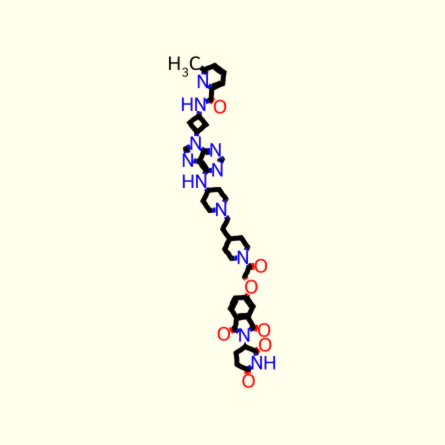 Cc1cccc(C(=O)NC2CC(n3cnc4c(NC5CCN(CCC6CCN(C(=O)COc7ccc8c(c7)C(=O)N([C@H]7CCC(=O)NC7=O)C8=O)CC6)CC5)ncnc43)C2)n1